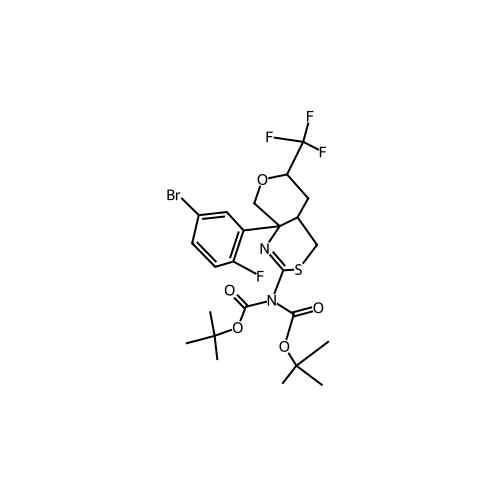 CC(C)(C)OC(=O)N(C(=O)OC(C)(C)C)C1=NC2(c3cc(Br)ccc3F)COC(C(F)(F)F)CC2CS1